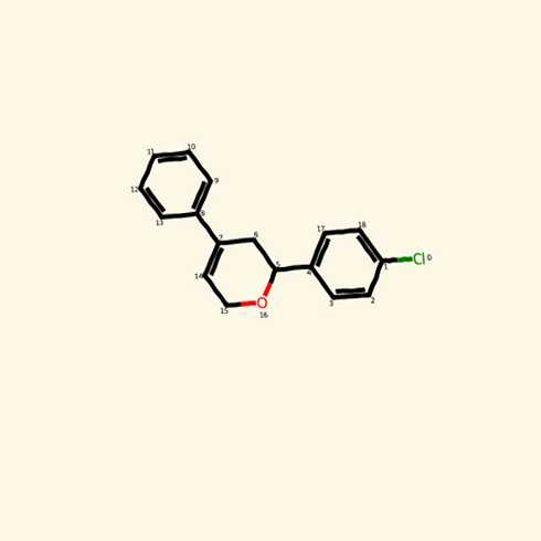 Clc1ccc(C2CC(c3ccccc3)=CCO2)cc1